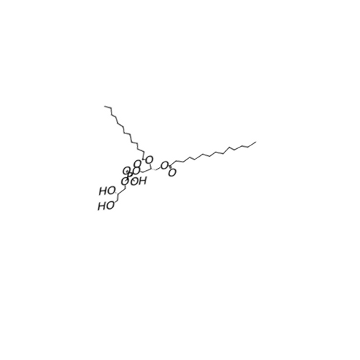 CCCCCCCCCCCCCC(=O)OC[C@H](COP(=O)(O)OC[C@@H](O)CO)OC(=O)CCCCCCCCCCCC